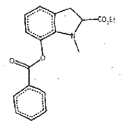 CCOC(=O)C1Cc2cccc(OC(=O)c3ccccc3)c2N1C